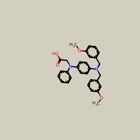 COc1cccc(CN(Cc2cccc(OC)c2)c2ccc(N(CC(=O)O)c3ccccc3)cc2)c1